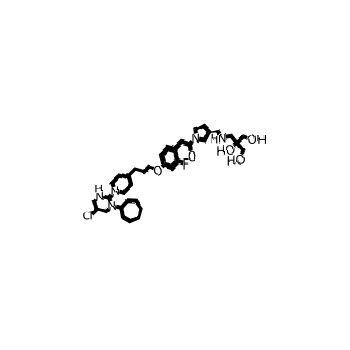 O=C(Cc1ccc(OCCCC2CCN(C3NCC(Cl)CN3C3CCCCCC3)CC2)cc1F)N1CC[C@@H](CNCC(O)(CO)CO)C1